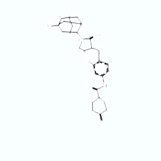 O=C1CCC(C(=O)Nc2ccc(CC3CCN(C4C5CC6CC4CC(O)(C6)C5)C3=O)c(Cl)c2)CC1